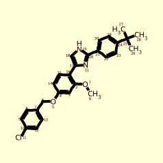 COc1cc(OCc2ccc(Cl)cc2)ccc1-c1c[nH]c(-c2ccc(C(C)(C)C)cc2)n1